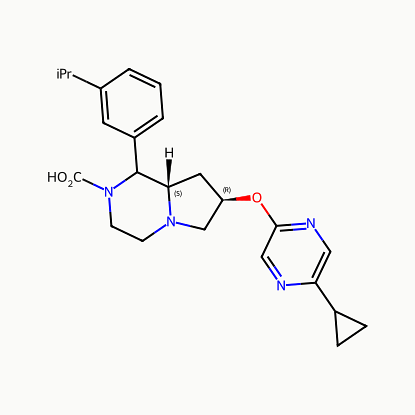 CC(C)c1cccc(C2[C@@H]3C[C@@H](Oc4cnc(C5CC5)cn4)CN3CCN2C(=O)O)c1